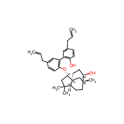 C=CCc1ccc(O)c(-c2cc(CC=C)ccc2O[C@H]2CC(C)(C)[C@@H]3CC[C@]4(C)C[C@]23CC[C@H]4O)c1